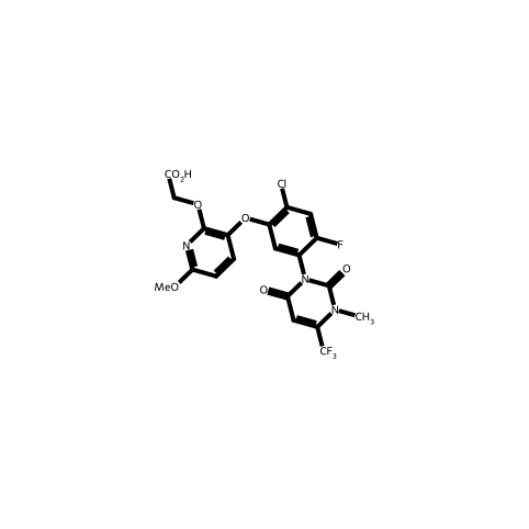 COc1ccc(Oc2cc(-n3c(=O)cc(C(F)(F)F)n(C)c3=O)c(F)cc2Cl)c(OCC(=O)O)n1